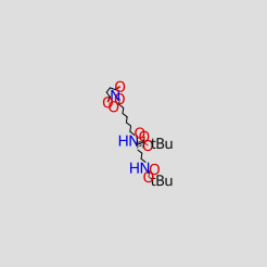 CC(C)(C)OC(=O)NCCCC[C@H](NC(=O)CCCCCCC(=O)ON1C(=O)CCC1=O)C(=O)OC(C)(C)C